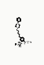 CCS(=O)(=O)Nc1cc(CCCCCN2CCN(c3ccccc3)CC2)ccc1SC